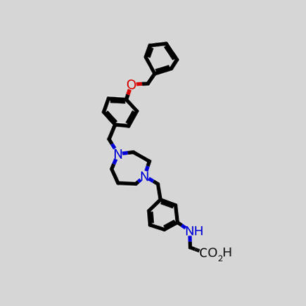 O=C(O)CNc1cccc(CN2CCCN(Cc3ccc(OCc4ccccc4)cc3)CC2)c1